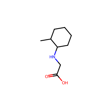 CC1CCCCC1NCC(=O)O